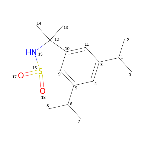 CC(C)c1cc(C(C)C)c2c(c1)C(C)(C)NS2(=O)=O